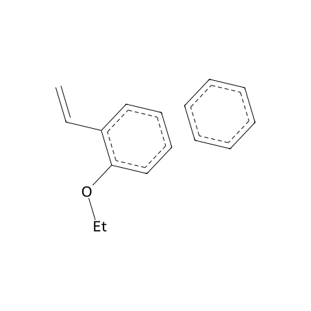 C=Cc1ccccc1OCC.c1ccccc1